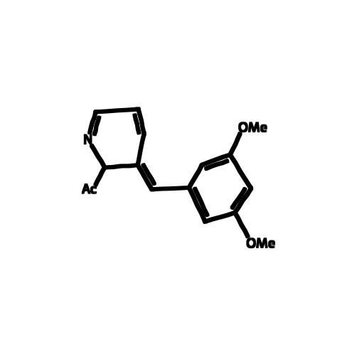 COc1cc(C=C2C=CC=NC2C(C)=O)cc(OC)c1